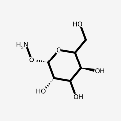 NO[C@@H]1OC(CO)[C@@H](O)C(O)[C@@H]1O